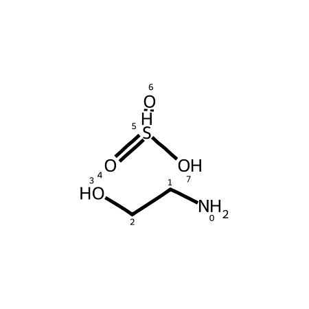 NCCO.O=[SH](=O)O